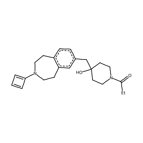 CCC(=O)N1CCC(O)(Cc2ccc3c(c2)CCN(C2=CC=C2)CC3)CC1